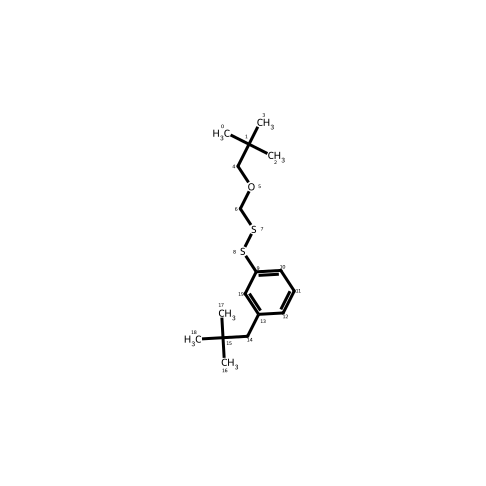 CC(C)(C)COCSSc1cccc(CC(C)(C)C)c1